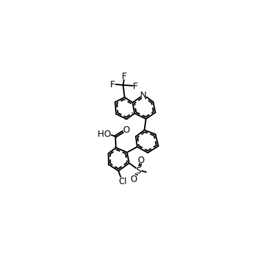 CS(=O)(=O)c1c(Cl)ccc(C(=O)O)c1-c1cccc(-c2ccnc3c(C(F)(F)F)cccc23)c1